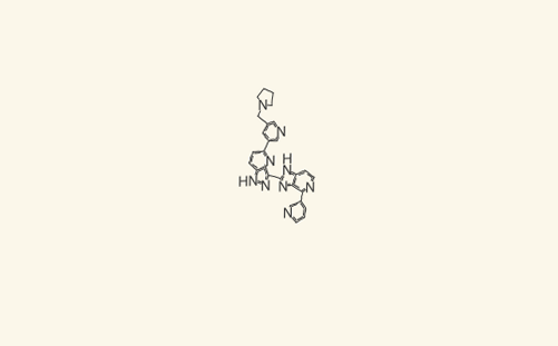 c1cncc(-c2nccc3[nH]c(-c4n[nH]c5ccc(-c6cncc(CN7CCCC7)c6)nc45)nc23)c1